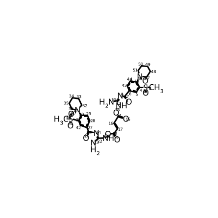 CS(=O)(=O)c1cc(C(=O)N=C(N)NOC(=O)/C=C/C(=O)ONC(N)=NC(=O)c2ccc(N3CCCCC3)c(S(C)(=O)=O)c2)ccc1N1CCCCC1